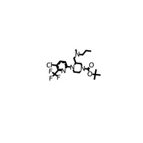 CCCN(C)CC1CN(C(=O)OC(C)(C)C)CCN1c1ccc(Cl)c(C(F)(F)F)n1